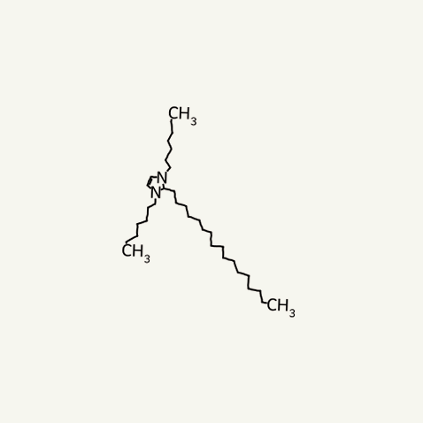 CCCCCCCCCCCCCCCCCC1N(CCCCCCC)C=CN1CCCCCCC